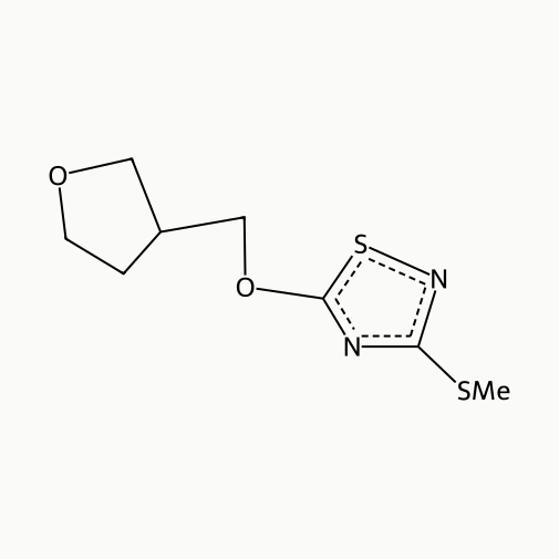 CSc1nsc(OCC2CCOC2)n1